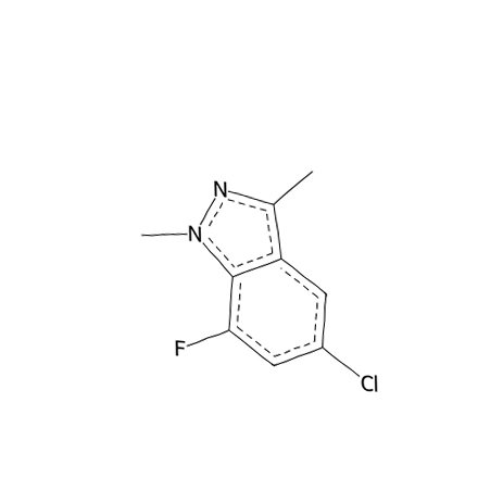 Cc1nn(C)c2c(F)cc(Cl)cc12